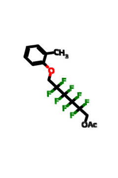 CC(=O)OCC(F)(F)C(F)(F)C(F)(F)C(F)(F)COc1ccccc1C